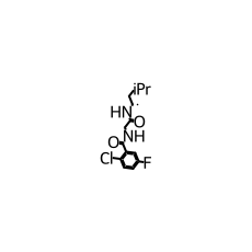 CC(C)C[CH]NC(=O)CNC(=O)c1cc(F)ccc1Cl